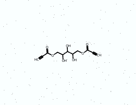 C#CC(=O)OCC(O)C(O)C(O)COC(=O)C#C